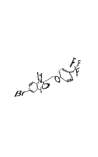 O=C(COc1ccc(C(F)(F)F)cc1)Nc1ccc(Br)cc1I